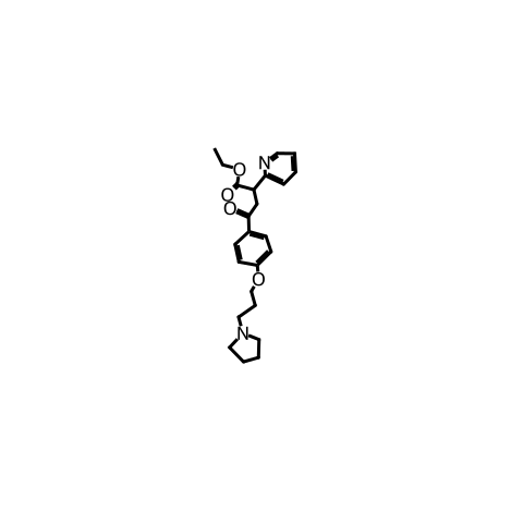 CCOC(=O)C(CC(=O)c1ccc(OCCCN2CCCC2)cc1)c1ccccn1